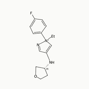 CC[N+]1(c2ccc(F)cc2)C=C(N[C@@H]2CCOC2)C=N1